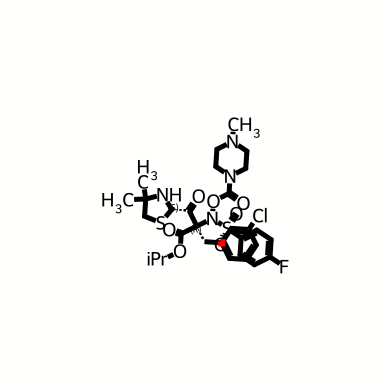 CC(C)OC(=O)[C@@](Cc1cccc(Cl)c1)(C(=O)[C@H]1NC(C)(C)CS1)N(OC(=O)N1CCN(C)CC1)S(=O)(=O)c1ccc(F)cc1